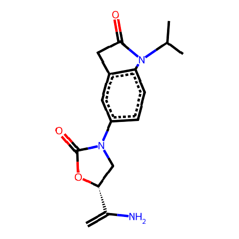 C=C(N)[C@H]1CN(c2ccc3c(c2)CC(=O)N3C(C)C)C(=O)O1